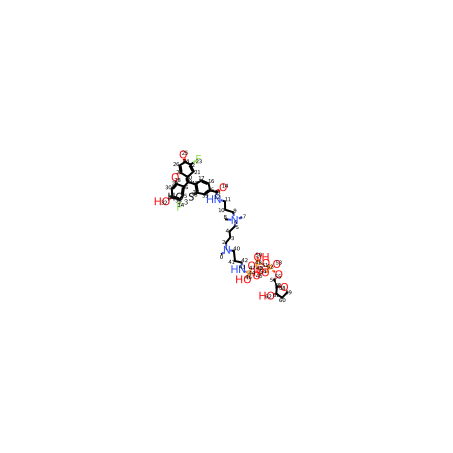 CN(CCCC[N+](C)(C)CCCNC(=O)c1ccc(-c2c3cc(F)c(=O)cc-3oc3cc(O)c(F)cc23)c(S(=O)(=O)O)c1)CCCNP(=O)(O)OP(=O)(O)OP(=O)(O)OC[C@H]1OCCC1O